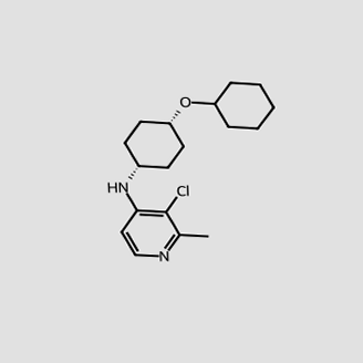 Cc1nccc(N[C@H]2CC[C@@H](OC3CCCCC3)CC2)c1Cl